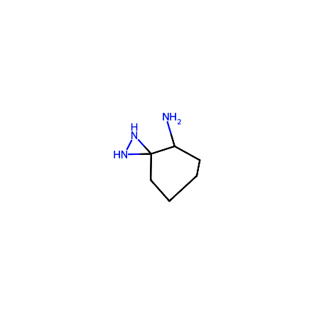 NC1CCCCC12NN2